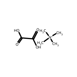 C[N+](C)(C)C.O=C(O)C(=O)O